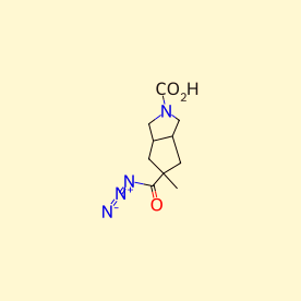 CC1(C(=O)N=[N+]=[N-])CC2CN(C(=O)O)CC2C1